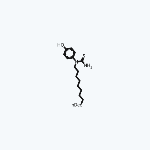 CCCCCCCCCCCCCCCCCCN(C(N)=S)c1ccc(O)cc1